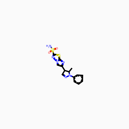 CC1C(c2cn3nc(S(N)(=O)=O)sc3n2)C=NN1c1ccccc1